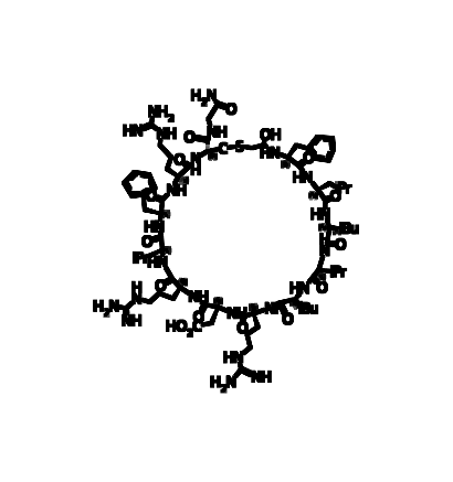 CC[C@H](C)[C@@H]1NC(=O)[C@H](CC(C)C)NC(=O)[C@H](Cc2ccccc2)NC(O)CSC[C@@H](C(=O)NCC(N)=O)NC(=O)[C@H](CCCNC(=N)N)NC(=O)[C@H](Cc2ccccc2)NC(=O)[C@H](C(C)C)NC(=O)[C@H](CCCNC(=N)N)NC(=O)[C@H](CC(=O)O)NC(=O)[C@H](CCCNC(=N)N)NC(=O)[C@H]([C@@H](C)CC)NC(=O)[C@H](C(C)C)NC1=O